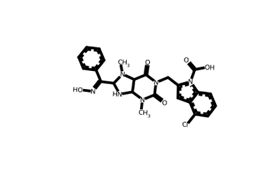 CN1C(=O)N(Cc2cc3c(Cl)cccc3n2C(=O)O)C(=O)C2C1NC(C(=NO)c1ccccc1)N2C